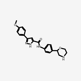 COc1ccc(-c2cc(C(=O)Nc3ccc(C4CNCCO4)cc3)[nH]n2)cc1